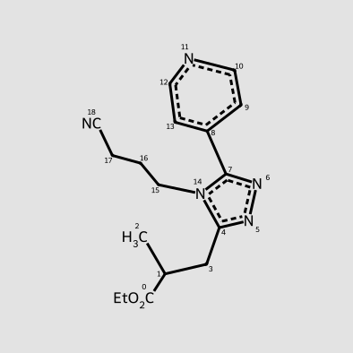 CCOC(=O)C(C)Cc1nnc(-c2ccncc2)n1CCCC#N